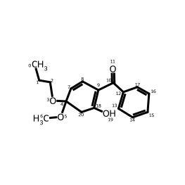 CCCOC1(OC)C=CC(C(=O)c2ccccc2)=C(O)C1